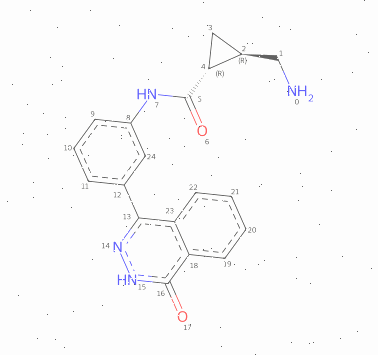 NC[C@@H]1C[C@H]1C(=O)Nc1cccc(-c2n[nH]c(=O)c3ccccc23)c1